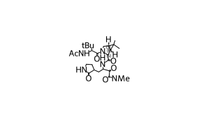 CNC(=O)C(=O)C(CC1CCNC1=O)NC(=O)[C@@H]1[C@@H]2[C@H](CN1C(=O)C(NC(C)=O)C(C)(C)C)C2(C)C